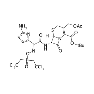 CC(=O)OCC1=C(C(=O)OC(C)(C)C)N2C(=O)[C@H](NC(=O)C(=NOP(=O)(CC(Cl)(Cl)Cl)CC(Cl)(Cl)Cl)c3csc(N)n3)[C@H]2SC1